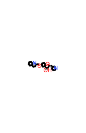 O[C@H]1C[C@@H](Cc2cccnc2)Oc2ccc(OCc3ccc4ccccc4n3)cc21